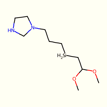 COC(C[SiH2]CCCN1CCNC1)OC